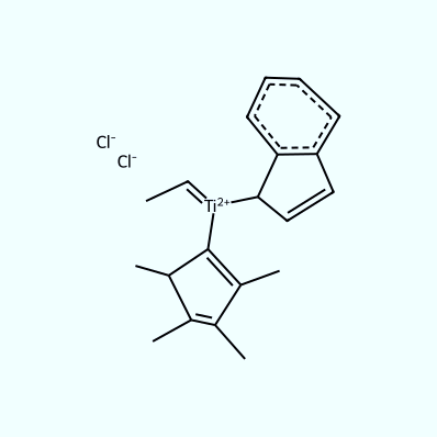 C[CH]=[Ti+2]([C]1=C(C)C(C)=C(C)C1C)[CH]1C=Cc2ccccc21.[Cl-].[Cl-]